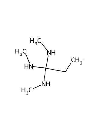 [CH2]CC(NC)(NC)NC